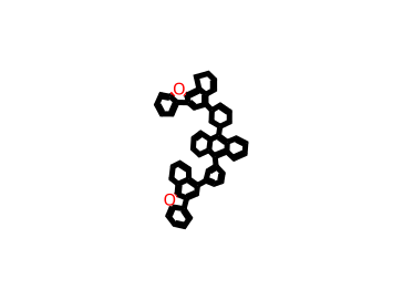 C1=Cc2c(-c3cccc(C4=c5ccccc5=C(C5CC=CC(c6cc7c(oc8ccccc87)c7c6C=CCC7)C5)C5C=CCCC45)c3)cc3c(oc4ccccc43)c2CC1